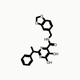 CC(c1ccccc1)c1nc(O)c(O)c(C(=O)NCc2ccc3c(c2)OCO3)n1